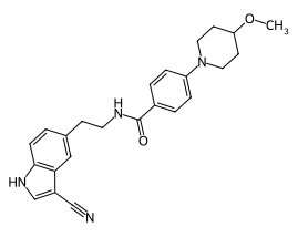 COC1CCN(c2ccc(C(=O)NCCc3ccc4[nH]cc(C#N)c4c3)cc2)CC1